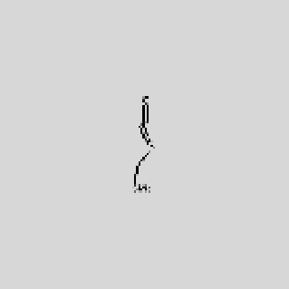 CSCN=C=O